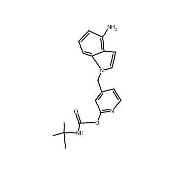 CC(C)(C)NC(=O)Oc1cc(Cn2ccc3c(N)cccc32)ccn1